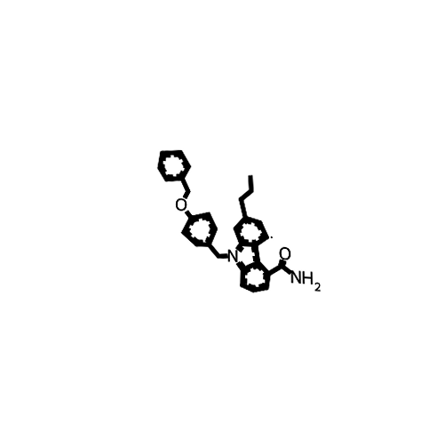 CCCc1c[c]c2c3c(C(N)=O)cccc3n(Cc3ccc(OCc4ccccc4)cc3)c2c1